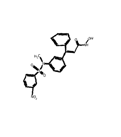 CN(c1cccc(C(=CC(=O)NO)c2ccccc2)c1)S(=O)(=O)c1cccc([N+](=O)[O-])c1